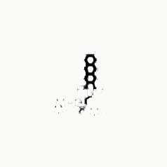 CO[Si](CCCN1C(=O)c2cc3cc4ccccc4cc3cc2C1=O)(OC)OC